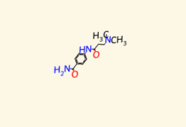 CN(C)CCC(=O)Nc1ccc(C(N)=O)cc1